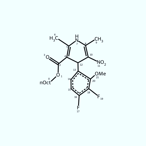 CCCCCCCCOC(=O)C1=C(C)NC(C)=C([N+](=O)[O-])C1c1ccc(F)c(F)c1OC